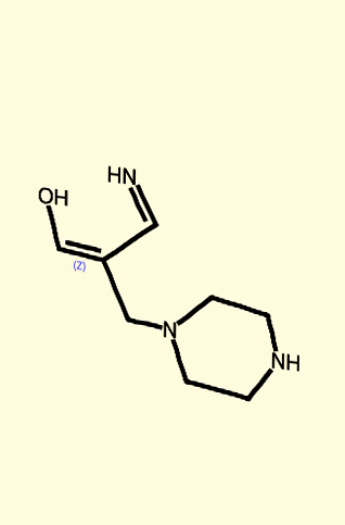 N=C/C(=C\O)CN1CCNCC1